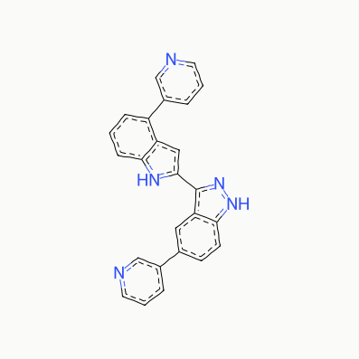 c1cncc(-c2ccc3[nH]nc(-c4cc5c(-c6cccnc6)cccc5[nH]4)c3c2)c1